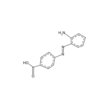 Nc1ccccc1N=Nc1ccc(C(=O)O)cc1